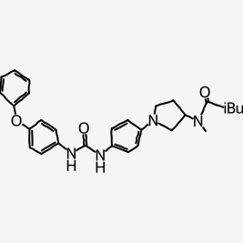 CCC(C)C(=O)N(C)C1CCN(c2ccc(NC(=O)Nc3ccc(Oc4ccccc4)cc3)cc2)C1